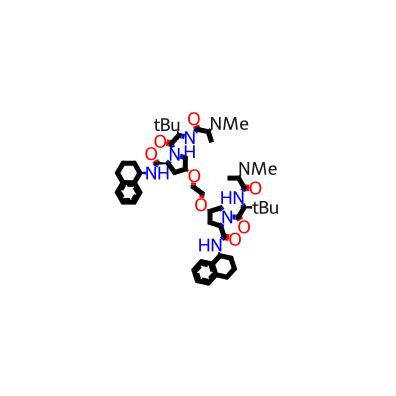 CN[C@@H](C)C(=O)N[C@H](C(=O)N1C[C@@H](OCCO[C@H]2C[C@@H](C(=O)N[C@@H]3CCCc4ccccc43)N(C(=O)[C@@H](NC(=O)[C@H](C)NC)C(C)(C)C)C2)CC1C(=O)N[C@@H]1CCCc2ccccc21)C(C)(C)C